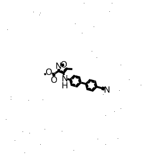 COC(=O)c1noc(C)c1Nc1ccc(-c2ccc(C#N)cc2)cc1